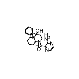 Nc1nccnc1C(=O)N1CC[C@](O)(c2ccccc2)[C@H]2CCCC[C@H]21